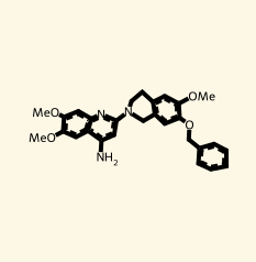 COc1cc2nc(N3CCc4cc(OC)c(OCc5ccccc5)cc4C3)cc(N)c2cc1OC